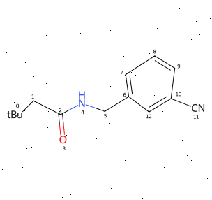 CC(C)(C)CC(=O)NCc1cccc(C#N)c1